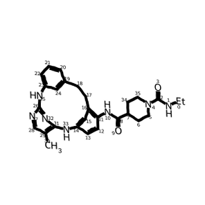 CCNC(=O)N1CCC(C(=O)Nc2ccc3cc2CCc2cccc(c2)Nc2ncc(C)c(n2)N3)CC1